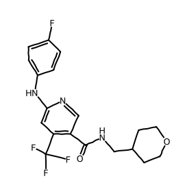 O=C(NCC1CCOCC1)c1cnc(Nc2ccc(F)cc2)cc1C(F)(F)F